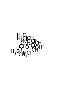 CCC(C)(C)C(=O)N1CCc2ccc(CN(C)C)cc2C1C(=O)Nc1cc(C)c(O)c(C)c1C.Cl